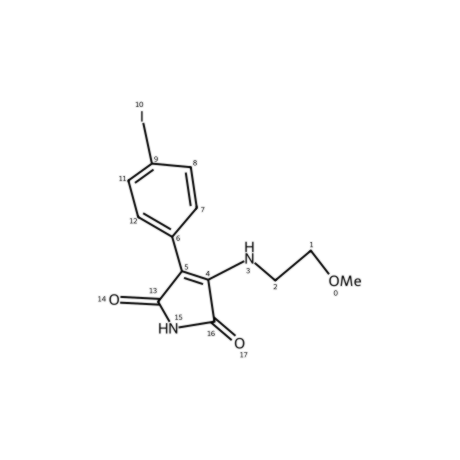 COCCNC1=C(c2ccc(I)cc2)C(=O)NC1=O